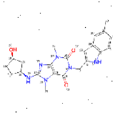 Cc1ccc2[nH]c(Cn3c(=O)c4c(nc(N[C@H]5CC[C@@H](O)C5)n4C)n(C)c3=O)cc2c1